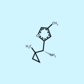 Cc1coc([C@H](N)C2(C)CC2)c1